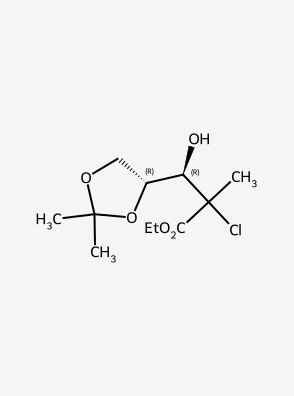 CCOC(=O)C(C)(Cl)[C@H](O)[C@H]1COC(C)(C)O1